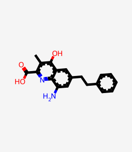 Cc1c(C(=O)O)nc2c(N)cc(CCc3ccccc3)cc2c1O